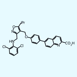 CC(C)c1onc(CNc2c(Cl)cccc2Cl)c1COc1ccc(-c2ccc3nc(C(=O)O)ccc3c2)cc1